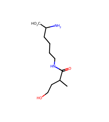 CC(CCO)C(=O)NCCCCC(N)C(=O)O